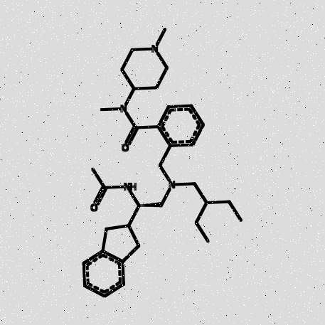 CCC(CC)CN(Cc1ccccc1C(=O)N(C)C1CCN(C)CC1)C[C@H](NC(C)=O)C1Cc2ccccc2C1